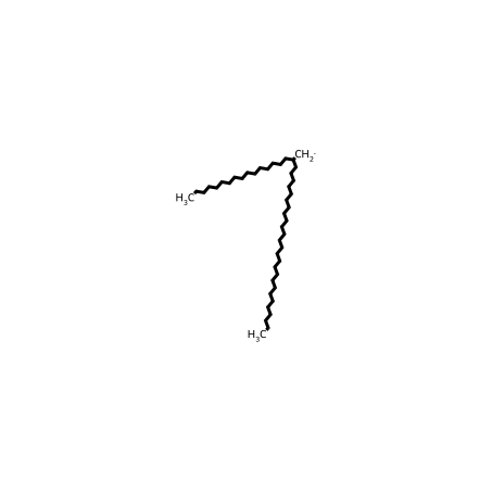 [CH2]C(CCCCCCCCCCCCCCCC)CCCCCCCCCCCCCCCCCCCCCCCCCC